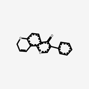 O=c1c(-c2ccccc2)coc2c3c(ccc12)OCC=C3